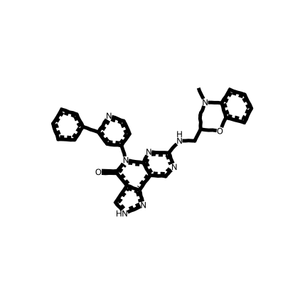 CN1CC(CNc2ncc3c4n[nH]cc4c(=O)n(-c4ccnc(-c5ccccc5)c4)c3n2)Oc2ccccc21